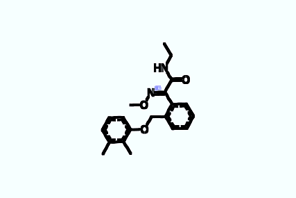 CCNC(=O)/C(=N/OC)c1ccccc1COc1cccc(C)c1C